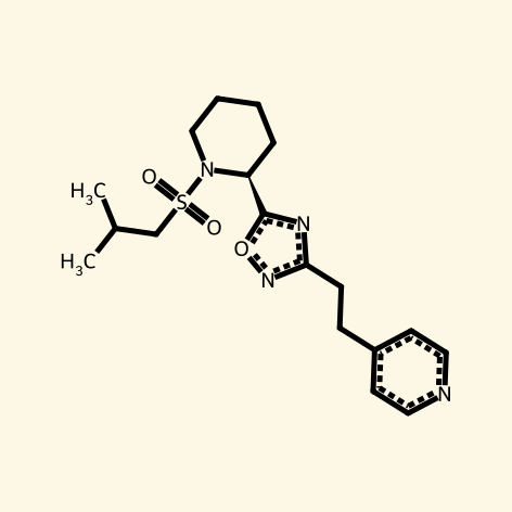 CC(C)CS(=O)(=O)N1CCCC[C@H]1c1nc(CCc2ccncc2)no1